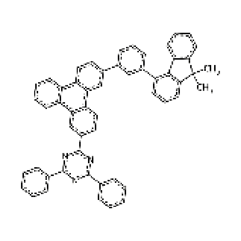 CC1(C)c2ccccc2-c2c(-c3cccc(-c4ccc5c6ccccc6c6cc(-c7nc(-c8ccccc8)nc(-c8ccccc8)n7)ccc6c5c4)c3)cccc21